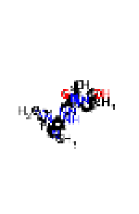 C=CCn1c(=O)c2cnc(Nc3cc(N4CCN(C)C[C@@H]4C)c4ccn(C)c4c3)nc2n1-c1cccc(C(C)(C)O)n1